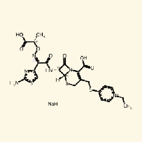 CC[n+]1ccc(SCC2=C(C(=O)O)N3C(=O)[C@@H](NC(=O)/C(=N\O[C@@H](C)C(=O)O)c4csc(N)n4)[C@H]3SC2)cc1.[NaH]